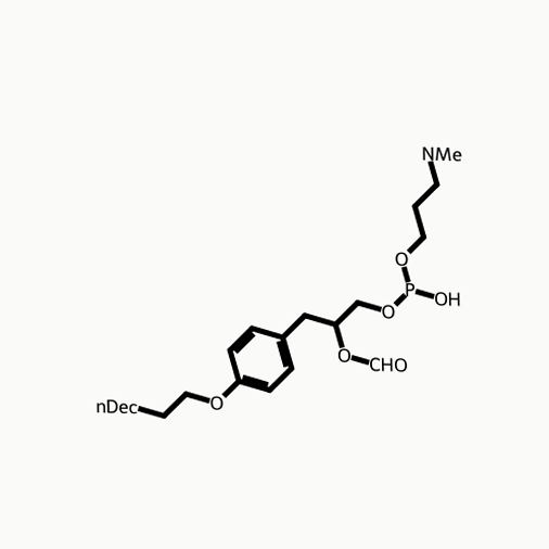 CCCCCCCCCCCCOc1ccc(CC(COP(O)OCCCNC)OC=O)cc1